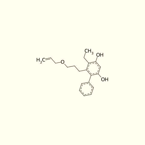 C=CCOCCCc1c(CC)c(O)cc(O)c1-c1ccccc1